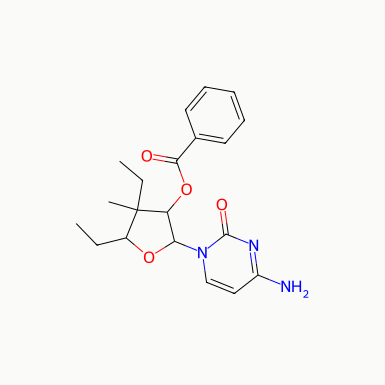 CCC1OC(n2ccc(N)nc2=O)C(OC(=O)c2ccccc2)C1(C)CC